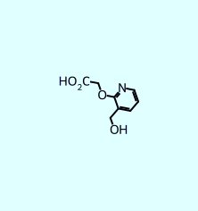 O=C(O)COc1ncccc1CO